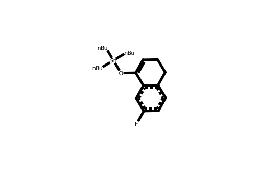 CCC[CH2][Sn]([CH2]CCC)([CH2]CCC)[O]C1=CCCc2ccc(F)cc21